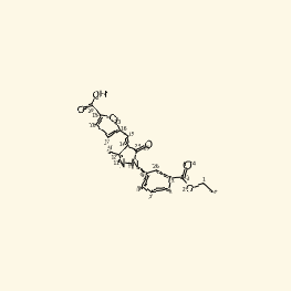 CCOC(=O)c1cccc(N2N=C(C)/C(=C\c3ccc(C(=O)O)o3)C2=O)c1